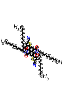 CCCCCCCCCCCCC(CCCCCCCCCC)CN1C(=O)c2cc(-c3ccc(C#N)s3)c3c4c(cc(-c5ccc(C#N)s5)c(c24)C1=O)C(=O)N(CC(CCCCCCCCCC)CCCCCCCCCCCC)C3=O